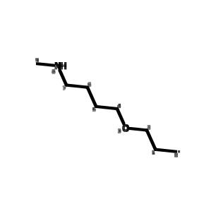 [CH2]CCOCCCCNC